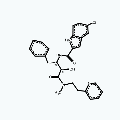 CN(CCc1ccccn1)C(=O)[C@H](O)[C@H](Cc1ccccc1)NC(=O)c1cc2cc(Cl)ccc2[nH]1